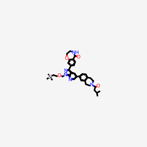 CC(C)CC(=O)N1CCc2ccc(-c3cnc4c(c3)c(-c3ccc5c(c3)OCCNC5=O)nn4COCC[Si](C)(C)C)cc2CC1